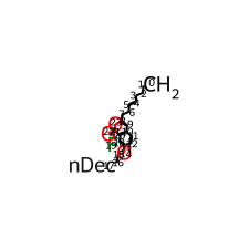 C=CCC/C=C/CCc1cc2ccc(OCCCCCCCCCCCC)c(F)c2c(=O)o1